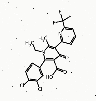 CCn1c(C)c(-c2cccc(C(F)(F)F)n2)c(=O)c(C(=O)O)c1-c1ccc(Cl)c(Cl)c1